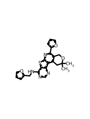 CC1(C)Cc2c(c(-c3ccco3)nc3sc4c(NCc5ccco5)ncnc4c23)CO1